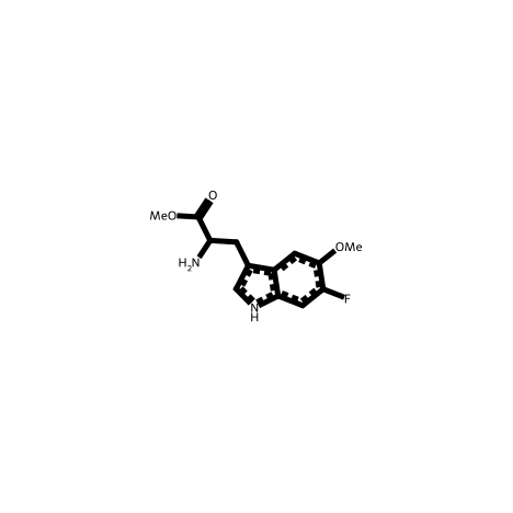 COC(=O)C(N)Cc1c[nH]c2cc(F)c(OC)cc12